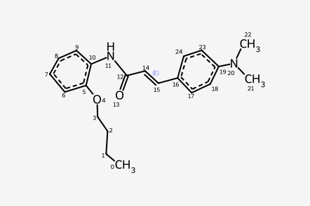 CCCCOc1ccccc1NC(=O)/C=C/c1ccc(N(C)C)cc1